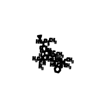 CCC[C@H](NC(=O)[C@@H]1[C@@H]2[C@H](CN1C(=O)[C@@H](NC(=O)NC1(CS(=O)(=O)N(C)CC)CCCCC1)C(C)(C)C)C2(C)C)C(=O)C(=O)NC1CC1